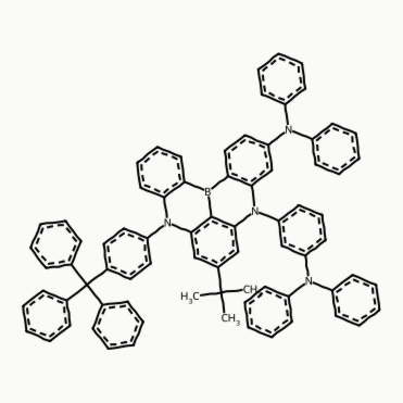 CC(C)(C)c1cc2c3c(c1)N(c1cccc(N(c4ccccc4)c4ccccc4)c1)c1cc(N(c4ccccc4)c4ccccc4)ccc1B3c1ccccc1N2c1ccc(C(c2ccccc2)(c2ccccc2)c2ccccc2)cc1